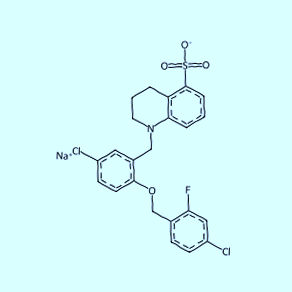 O=S(=O)([O-])c1cccc2c1CCCN2Cc1cc(Cl)ccc1OCc1ccc(Cl)cc1F.[Na+]